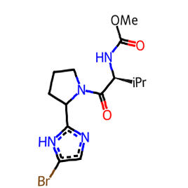 COC(=O)N[C@H](C(=O)N1CCCC1c1ncc(Br)[nH]1)C(C)C